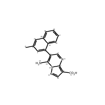 Cc1cc(-c2cnc3c(C(=O)O)cnn3c2N)c2ccccc2c1